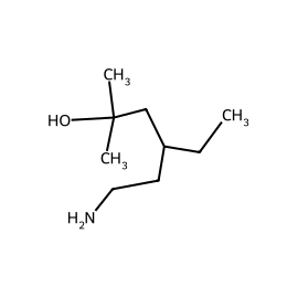 CCC(CCN)CC(C)(C)O